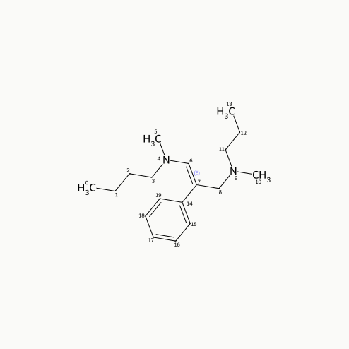 CCCCN(C)/C=C(/CN(C)CCC)c1ccccc1